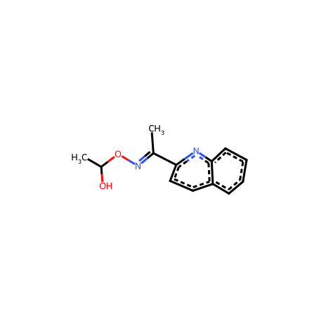 CC(=NOC(C)O)c1ccc2ccccc2n1